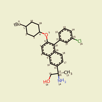 CC(C)(C)C1CCC(Oc2ccc3cc([C@@](C)(N)CO)ccc3c2-c2cccc(Cl)c2)CC1